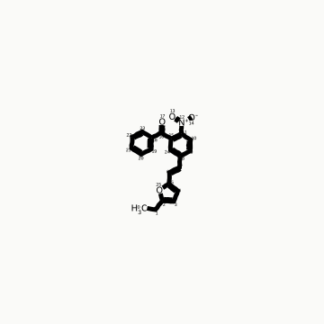 CCc1ccc(/C=C/c2ccc([N+](=O)[O-])c(C(=O)c3ccccc3)c2)o1